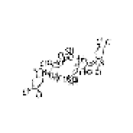 O=P1(S)OC[C@H]2O[C@@H](n3c(Cl)nc4cc(Cl)c(Cl)cc43)C(O)C2OP(=O)(S)OC[C@H]2O[C@@H](n3c(Cl)nc4cc(Cl)c(Cl)cc43)C(O)C2O1